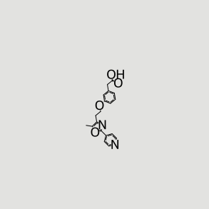 Cc1oc(-c2ccncc2)nc1CCOc1cccc(CC(=O)O)c1